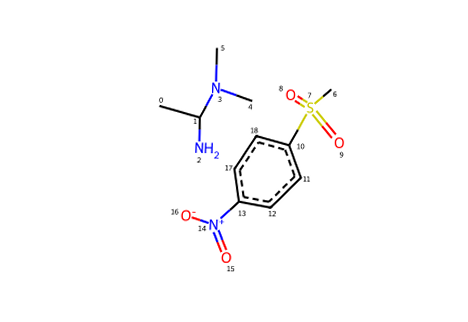 CC(N)N(C)C.CS(=O)(=O)c1ccc([N+](=O)[O-])cc1